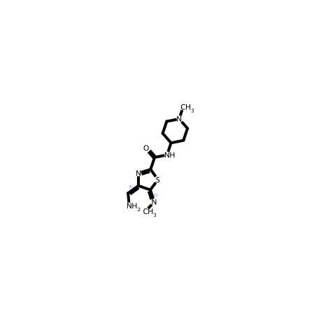 C/N=C1/SC(C(=O)NC2CCN(C)CC2)=N/C1=C/N